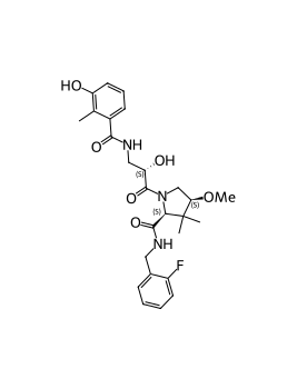 CO[C@@H]1CN(C(=O)[C@@H](O)CNC(=O)c2cccc(O)c2C)[C@H](C(=O)NCc2ccccc2F)C1(C)C